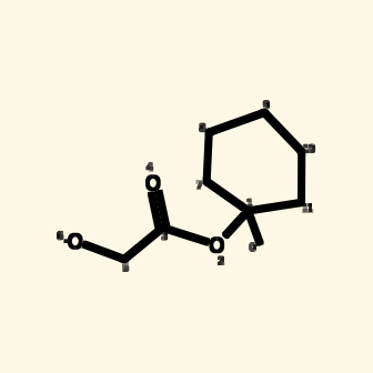 CC1(OC(=O)C[O])CCCCC1